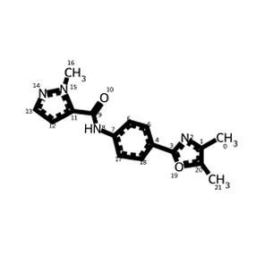 Cc1nc(-c2ccc(NC(=O)c3ccnn3C)cc2)oc1C